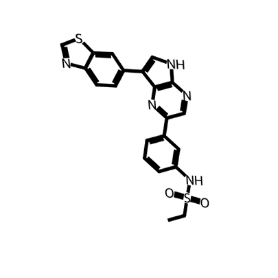 CCS(=O)(=O)Nc1cccc(-c2cnc3[nH]cc(-c4ccc5ncsc5c4)c3n2)c1